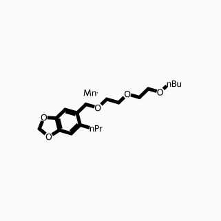 CCCCOCCOCCOCc1cc2c(cc1CCC)OCO2.[Mn]